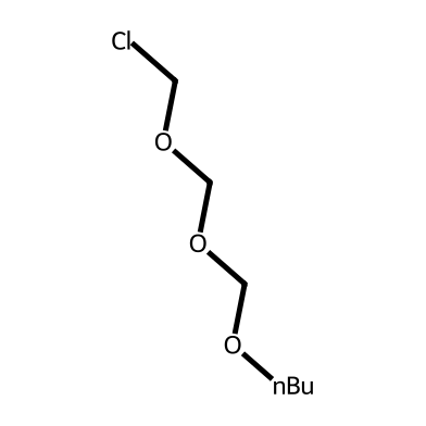 CCCCOCOCOCCl